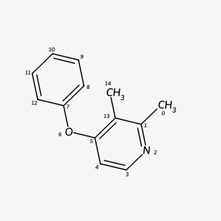 Cc1nccc(Oc2ccccc2)c1C